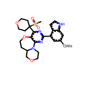 COc1cc(-c2nc3c(c(C4(S(C)(=O)=O)CCOCC4)n2)OCCC2COCCN32)c2cc[nH]c2c1